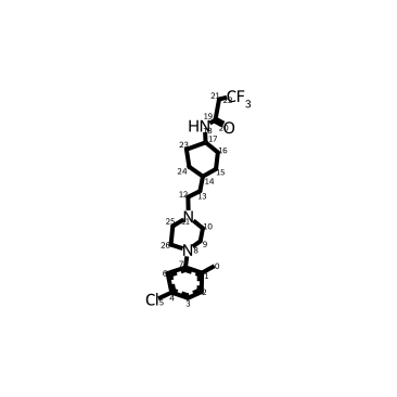 Cc1ccc(Cl)cc1N1CCN(CCC2CCC(NC(=O)CC(F)(F)F)CC2)CC1